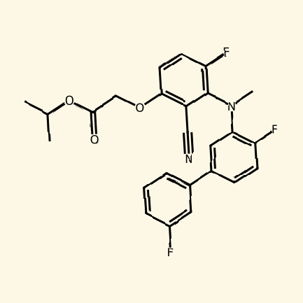 CC(C)OC(=O)COc1ccc(F)c(N(C)c2cc(-c3cccc(F)c3)ccc2F)c1C#N